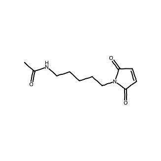 CC(=O)NCCCCCN1C(=O)C=CC1=O